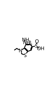 CCN1CSc2cc(S(=O)O)ccc21.N.N